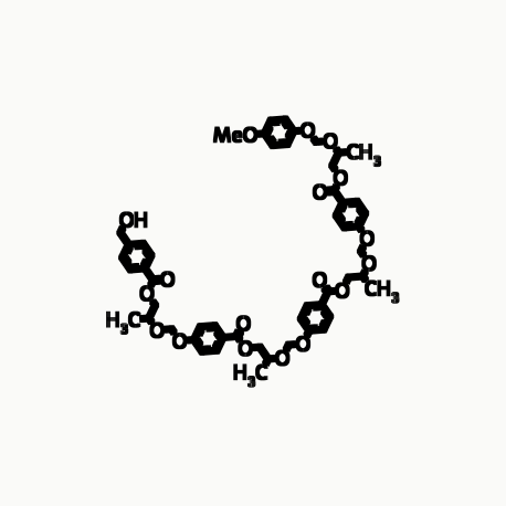 COc1ccc(OCOC(C)COC(=O)c2ccc(OCOC(C)COC(=O)c3ccc(OCOC(C)COC(=O)c4ccc(OCOC(C)COC(=O)c5ccc(CO)cc5)cc4)cc3)cc2)cc1